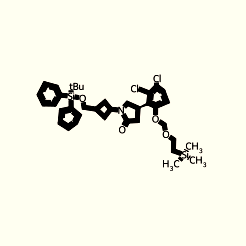 CC(C)(C)[Si](OCC1CC(N2C[C@@H](c3c(OCOCC[Si](C)(C)C)ccc(Cl)c3Cl)CC2=O)C1)(c1ccccc1)c1ccccc1